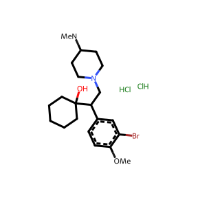 CNC1CCN(CC(c2ccc(OC)c(Br)c2)C2(O)CCCCC2)CC1.Cl.Cl